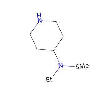 CCN(SC)C1CCNCC1